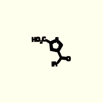 CC(C)C(=O)c1csc(C(=O)O)c1